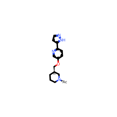 CC(=O)N1CCC[C@@H](COc2ccc(-c3ccn[nH]3)nc2)C1